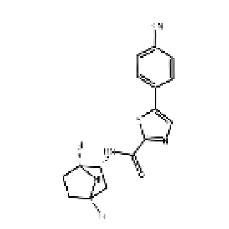 N#Cc1ccc(-c2cnc(C(=O)N[C@@H]3C[C@H]4CC[C@@H]3N4)s2)cc1